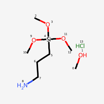 CO.CO[Si](CCCN)(OC)OC.Cl